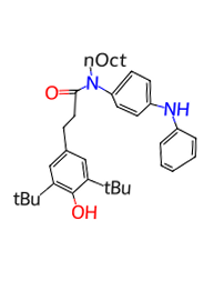 CCCCCCCCN(C(=O)CCc1cc(C(C)(C)C)c(O)c(C(C)(C)C)c1)c1ccc(Nc2ccccc2)cc1